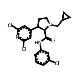 O=C(Nc1cccc(Cl)c1)C1C(c2cc(Cl)nc(Cl)c2)CCN1CC1CC1